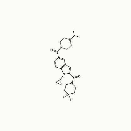 CC(C)N1CCN(C(=O)c2ccc3c(c2)cc(C(=O)N2CCC(F)(F)CC2)n3C2CC2)CC1